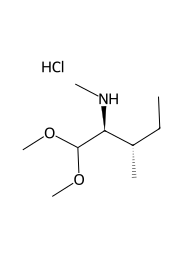 CC[C@H](C)[C@H](NC)C(OC)OC.Cl